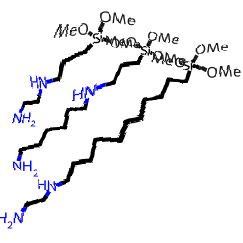 CO[Si](CCCCCCCCCCCNCCN)(OC)OC.CO[Si](CCCNCCCCCCN)(OC)OC.CO[Si](CCCNCCN)(OC)OC